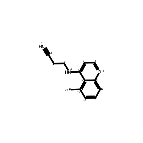 C#CCCNc1ccnc2cccc(F)c12